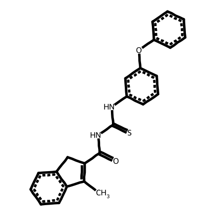 CC1=C(C(=O)NC(=S)Nc2cccc(Oc3ccccc3)c2)Cc2ccccc21